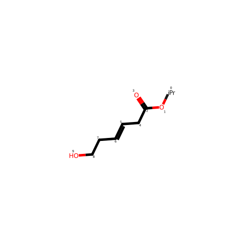 CC(C)OC(=O)CC=CCCO